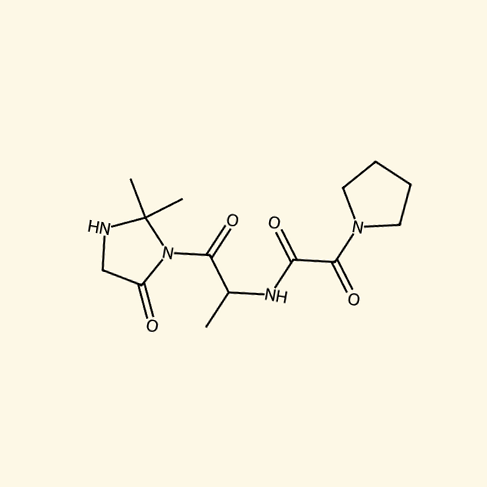 CC(NC(=O)C(=O)N1CCCC1)C(=O)N1C(=O)CNC1(C)C